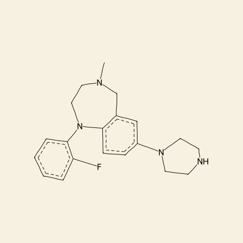 CN1CCN(c2ccccc2F)c2ccc(N3CCNCC3)cc2C1